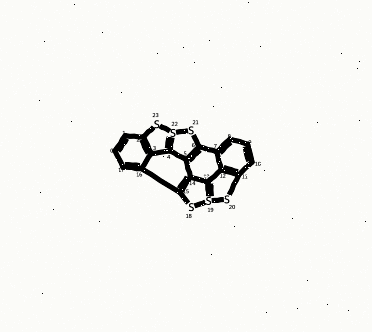 c1cc2c3c4c5c(c6cccc7c6c6c5c(c3c1)SS=6S7)SS=4S2